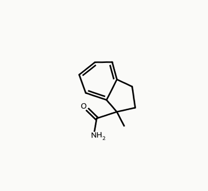 CC1(C(N)=O)CCc2ccccc21